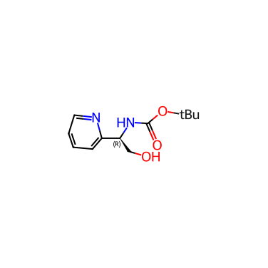 CC(C)(C)OC(=O)N[C@@H](CO)c1ccccn1